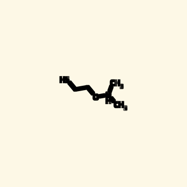 C[SiH](C)OCCS